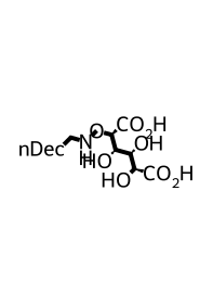 CCCCCCCCCCCNO[C@@H](C(=O)O)[C@@H](O)[C@H](O)[C@H](O)C(=O)O